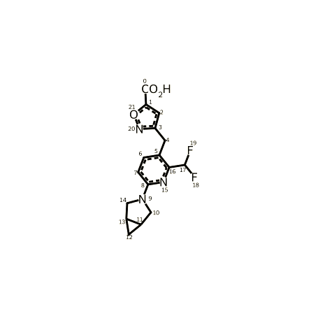 O=C(O)c1cc(Cc2ccc(N3CC4CC4C3)nc2C(F)F)no1